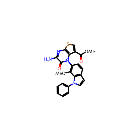 COC(=O)c1csc2nc(N)c(=O)n(-c3ccc4ccn(-c5ccccc5)c4c3OC)c12